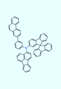 c1cc(-c2ccc3c(ccc4ccccc43)c2)cc(N(c2ccc3c(c2)C2(c4ccccc4-c4ccccc42)c2ccccc2-3)c2ccc3c4c(cccc24)-c2ccccc2-3)c1